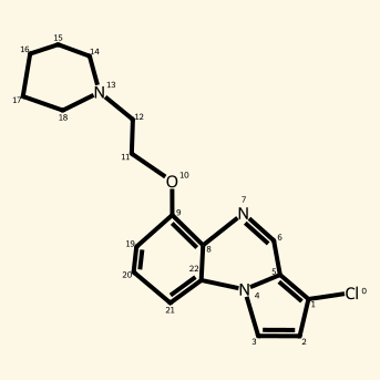 Clc1ccn2c1cnc1c(OCCN3CCCCC3)cccc12